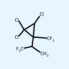 CC(C(F)(F)F)C1(C(F)(F)F)C(Cl)C1(Cl)Cl